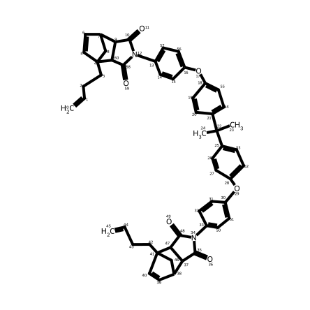 C=CCCC12C=CC(C1)C1C(=O)N(c3ccc(Oc4ccc(C(C)(C)c5ccc(Oc6ccc(N7C(=O)C8C9C=CC(CCC=C)(C9)C8C7=O)cc6)cc5)cc4)cc3)C(=O)C12